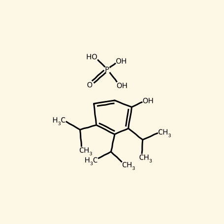 CC(C)c1ccc(O)c(C(C)C)c1C(C)C.O=P(O)(O)O